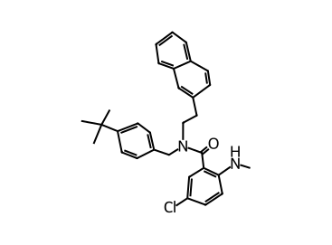 CNc1ccc(Cl)cc1C(=O)N(CCc1ccc2ccccc2c1)Cc1ccc(C(C)(C)C)cc1